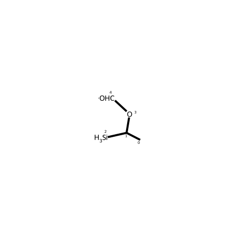 CC([SiH3])O[C]=O